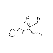 CC=C(c1ccccc1)[SiH](OCC)OCC